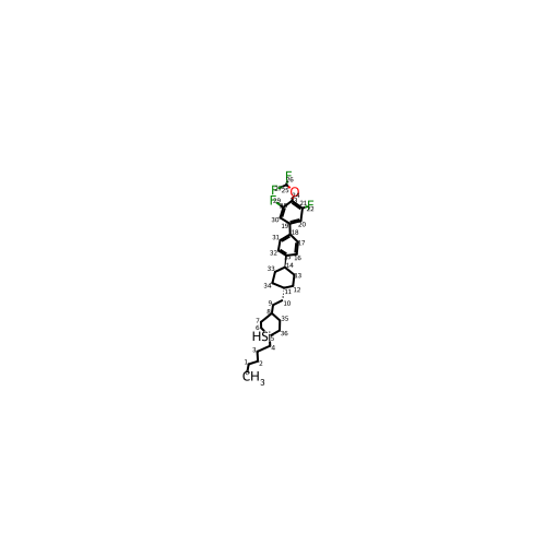 CCCCC[SiH]1CCC(CC[C@H]2CC[C@H](c3ccc(-c4cc(F)c(OC(F)F)c(F)c4)cc3)CC2)CC1